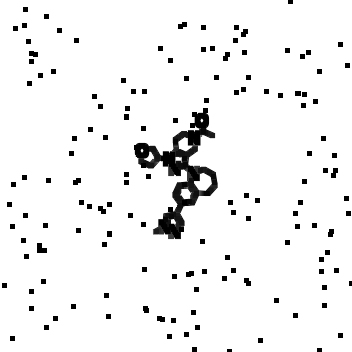 CC(=O)N1CCc2c(c(N3CCCCc4cc(-c5cnn(C)c5)ccc43)nn2[C@H]2CCOC2)C1